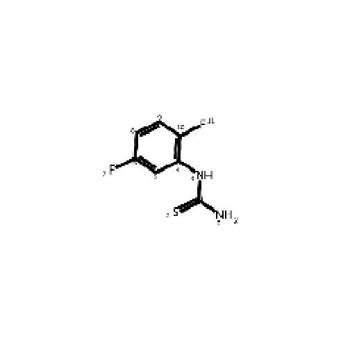 NC(=S)Nc1cc(F)ccc1F